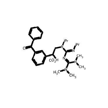 CC(C)N=C(N=C(N(C)C)N(C)C)N(CC(C(=O)O)c1cccc(C(=O)c2ccccc2)c1)C(C)C